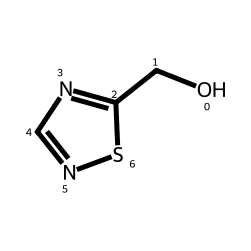 OCc1ncns1